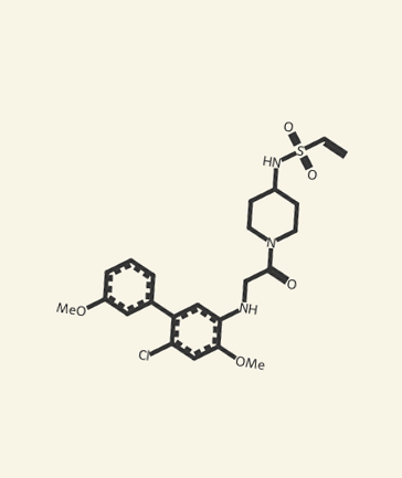 C=CS(=O)(=O)NC1CCN(C(=O)CNc2cc(-c3cccc(OC)c3)c(Cl)cc2OC)CC1